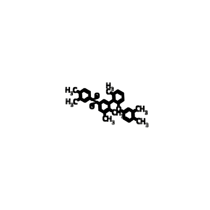 Cc1ccc(Oc2cccc(C)c2-c2cc(S(=O)(=O)c3ccc(C)c(C)c3)cc(C)c2C)cc1C